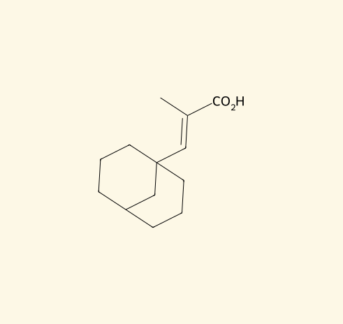 CC(=CC12CCCC(CCC1)C2)C(=O)O